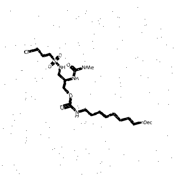 CCCCCCCCCCCCCCCCCCNC(=O)OCC(CNS(=O)(=O)CCCCl)NC(=O)NC